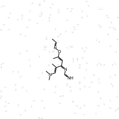 C/C=N/O/C(C)=C/C(=N/C=N)C(/C)=C/N(C)C